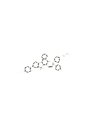 COc1ccc(-c2ccc3c(c2)C(C)(C)c2c4c(c5ccccc5c2-3)OC(c2ccc(OC)cc2)(c2ccc(OCCO)cc2)C=C4)cc1